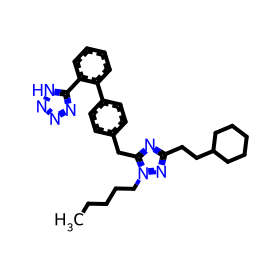 CCCCCn1nc(CCC2CCCCC2)nc1Cc1ccc(-c2ccccc2-c2nnn[nH]2)cc1